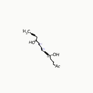 CC#CC[C@@H](O)/C=C/C=C/C#C[C@@H](O)CCCC(C)=O